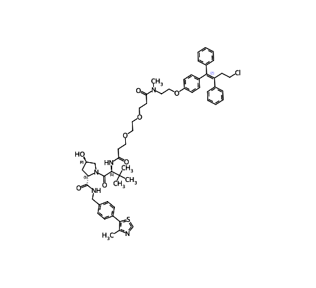 Cc1ncsc1-c1ccc(CNC(=O)[C@@H]2C[C@@H](O)CN2C(=O)[C@@H](NC(=O)CCOCCOCCC(=O)N(C)CCOc2ccc(/C(=C(/CCCl)c3ccccc3)c3ccccc3)cc2)C(C)(C)C)cc1